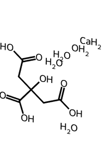 O.O.O.O.O=C(O)CC(O)(CC(=O)O)C(=O)O.[CaH2]